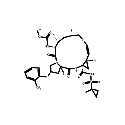 C[C@@H]1CC/C=C\[C@@H]2C[C@@]2(C(=O)NS(=O)(=O)C2(C)CC2)NC(=O)[C@@H]2C[C@@H](Oc3ncccc3C(F)(F)F)CN2C(=O)[C@@H](NC(=O)OC(C)(C)C)[C@H](C)C1